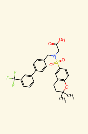 CC1(C)CCc2cc(S(=O)(=O)N(CC(=O)O)Cc3ccc(-c4cccc(C(F)(F)F)c4)cc3)ccc2O1